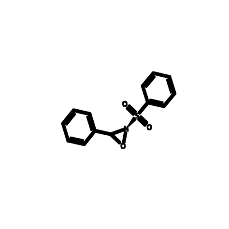 O=S(=O)(c1ccccc1)[N@@]1OC1c1ccccc1